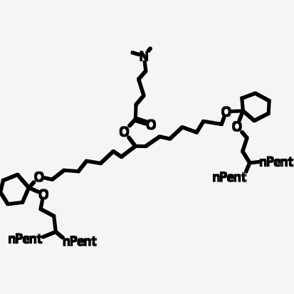 CCCCCC(CCCCC)CCOC1(OCCCCCCCC(CCCCCCCOC2(OCCC(CCCCC)CCCCC)CCCCC2)OC(=O)CCCCN(C)C)CCCCC1